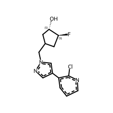 O[C@H]1CC(Cn2cc(-c3cccnc3Cl)cn2)C[C@@H]1F